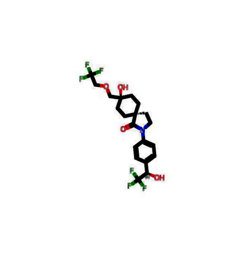 O=C1N(c2ccc([C@@H](O)C(F)(F)F)cc2)CC[C@]12CC[C@@](O)(COCC(F)(F)F)CC2